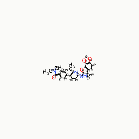 Cc1nc(NC(=O)C2(c3ccc4c(c3)OCO4)CC2)ccc1-c1ccc(C(=O)N(C)C)cc1